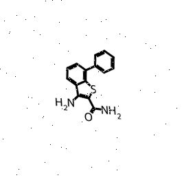 NC(=O)c1sc2c(-c3ccccc3)cccc2c1N